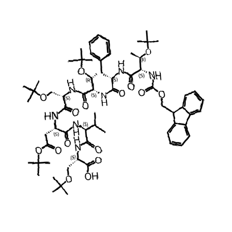 CC(C)[C@H](NC(=O)[C@H](CC(=O)OC(C)(C)C)NC(=O)[C@H](COC(C)(C)C)NC(=O)[C@@H](NC(=O)[C@H](Cc1ccccc1)NC(=O)[C@@H](NC(=O)OCC1c2ccccc2-c2ccccc21)[C@@H](C)OC(C)(C)C)[C@@H](C)OC(C)(C)C)C(=O)N[C@@H](COC(C)(C)C)C(=O)O